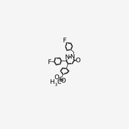 CS(=O)(=O)c1ccc(-c2cc(=O)n(Cc3ccc(F)cc3)nc2-c2ccc(F)cc2)cc1